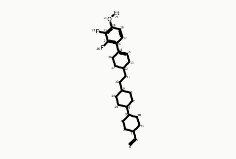 C=CC1CCC(C2CCC(CCC3CC=C(c4ccc(OCC)c(F)c4F)CC3)CC2)CC1